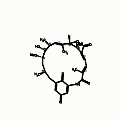 CO[C@H]1C[C@H](C)CC2=CC(=O)C=C(NC(=O)/C(C)=C/C=C3/C(=O)O[C@@H](/C(C)=C/[C@H](C)[C@H]1O)[C@H]3OC)C2=O